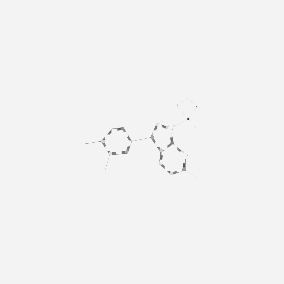 CC1(n2cc(-c3ccc(Cl)c(F)c3)c3ccc(Cl)nc32)CCC1